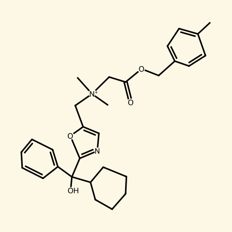 Cc1ccc(COC(=O)C[N+](C)(C)Cc2cnc(C(O)(c3ccccc3)C3CCCCC3)o2)cc1